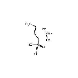 CCCCS(=O)(=O)O.CNC.F